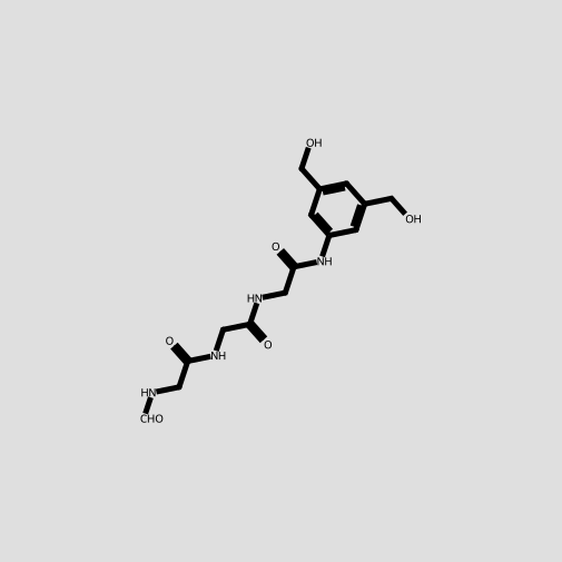 O=CNCC(=O)NCC(=O)NCC(=O)Nc1cc(CO)cc(CO)c1